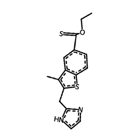 CCOC(=S)c1ccc2sc(Cc3ncc[nH]3)c(C)c2c1